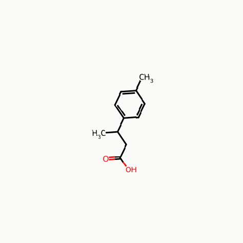 Cc1ccc(C(C)CC(=O)O)cc1